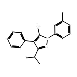 Cc1cccc(-n2nc(C(C)C)c(-c3ccccc3)c2O)c1